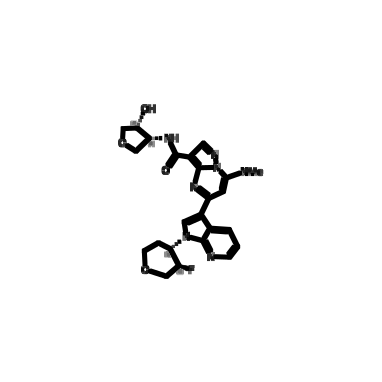 CNc1cc(-c2cn([C@H]3CCOC[C@@H]3F)c3ncccc23)nc2c(C(=O)N[C@@H]3COC[C@@H]3O)cnn12